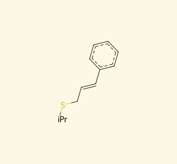 CC(C)SC/C=C/c1ccccc1